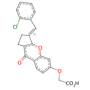 O=C(O)COc1ccc2c(=O)c3c(oc2c1)/C(=C/c1ccccc1Cl)CC3